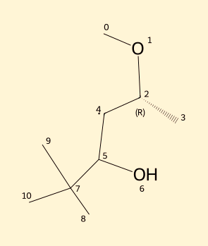 CO[C@H](C)[CH]C(O)C(C)(C)C